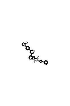 O=C(NC1CC(c2ccccc2)C1)c1cc2c(-c3cncc(-c4ccc(N5CCCC5=O)cc4)c3)ccnc2[nH]1